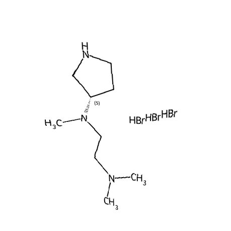 Br.Br.Br.CN(C)CCN(C)[C@H]1CCNC1